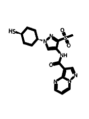 CS(=O)(=O)c1nn([C@H]2CC[C@H](S)CC2)cc1NC(=O)c1cnn2cccnc12